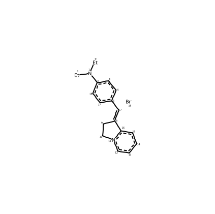 CCN(CC)c1ccc(C=C2CC[n+]3ccccc32)cc1.[Br-]